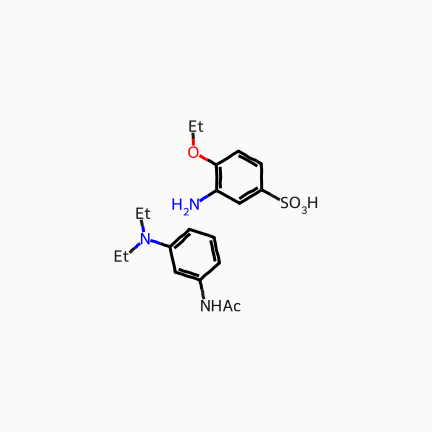 CCN(CC)c1cccc(NC(C)=O)c1.CCOc1ccc(S(=O)(=O)O)cc1N